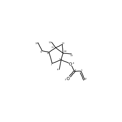 C=CC(=O)OC1(C)CC(CC)C2(C)CC12C